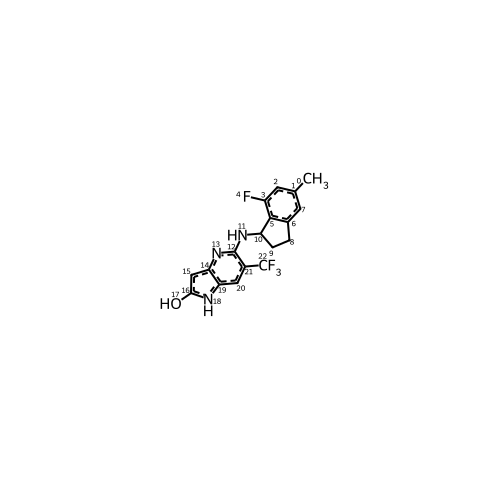 Cc1cc(F)c2c(c1)CCC2Nc1nc2cc(O)[nH]c2cc1C(F)(F)F